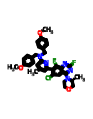 COc1ccc(CN(Cc2ccc(OC)cc2)c2cc(C)cc(-c3c(Cl)cc4c(N5CCOC[C@@H]5C)nc(F)nc4c3F)n2)cc1